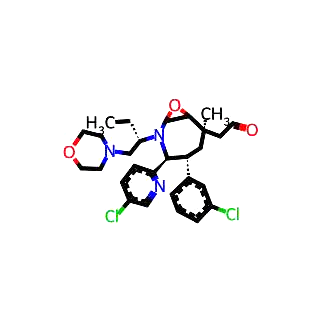 CC[C@@H](CN1CCOCC1)N1C2OC2[C@@](C)(CC=O)C[C@H](c2cccc(Cl)c2)[C@H]1c1ccc(Cl)cn1